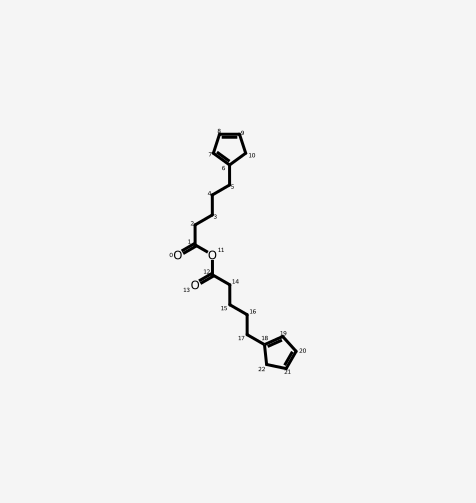 O=C(CCCCC1=CC=CC1)OC(=O)CCCCC1=CC=CC1